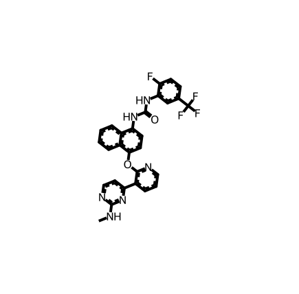 CNc1nccc(-c2cccnc2Oc2ccc(NC(=O)Nc3cc(C(F)(F)F)ccc3F)c3ccccc23)n1